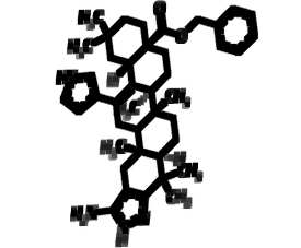 CC1(C)CC[C@]2(C(=O)OCc3ccccc3)CC[C@]3(C)C(=C(c4cc[nH]c4)CC4[C@@]5(C)Cc6c(n[nH]c6N)C(C)(C)[C@@H]5CC[C@]43C)[C@@H]2C1